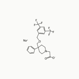 O=C([O-])CN1CCC(COCc2cc(C(F)(F)F)cc(C(F)(F)F)c2)(c2ccccc2)CC1.[Na+]